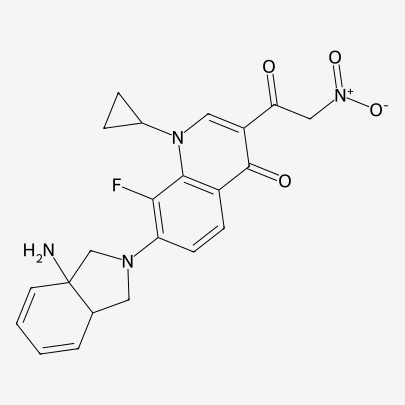 NC12C=CC=CC1CN(c1ccc3c(=O)c(C(=O)C[N+](=O)[O-])cn(C4CC4)c3c1F)C2